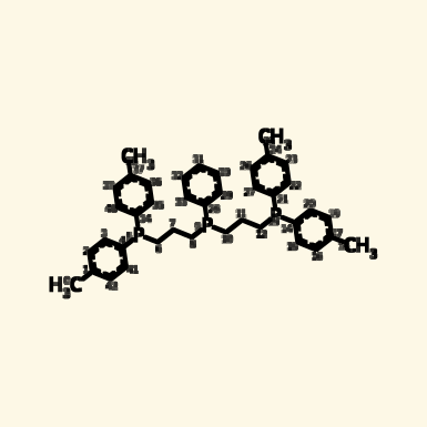 Cc1ccc(P(CCCP(CCCP(c2ccc(C)cc2)c2ccc(C)cc2)c2ccccc2)c2ccc(C)cc2)cc1